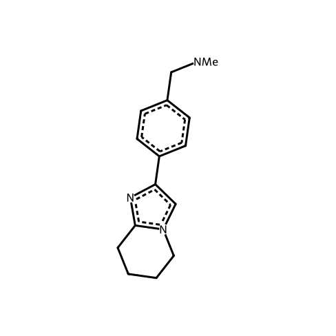 CNCc1ccc(-c2cn3c(n2)CCCC3)cc1